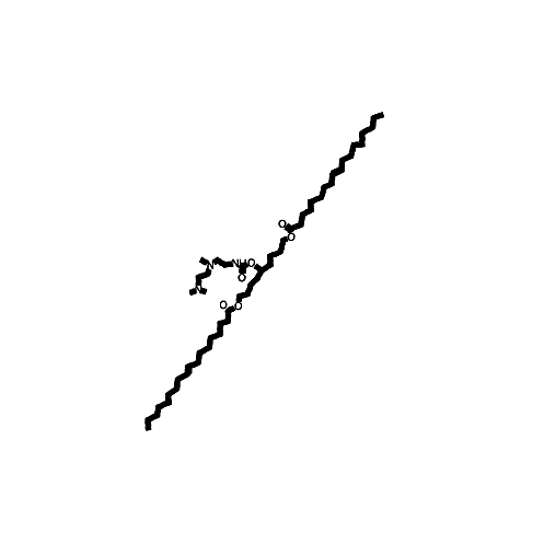 CCCCCCCC/C=C/CCCCCCCC(=O)OCCCCC(CCCCOC(=O)CCCCCCC/C=C/CCCCCCCC)OC(=O)NCCN(C)CCN(C)C